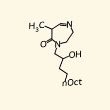 CCCCCCCCCCC(O)CN1CCN=CC(C)C1=O